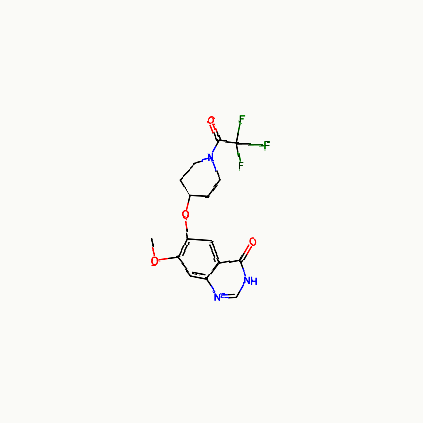 COc1cc2nc[nH]c(=O)c2cc1OC1CCN(C(=O)C(F)(F)F)CC1